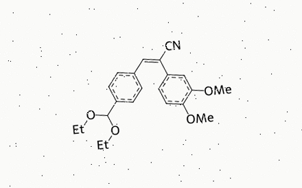 CCOC(OCC)c1ccc(C=C(C#N)c2ccc(OC)c(OC)c2)cc1